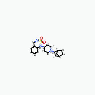 O=S1(=O)N=Cc2ccccc2N1C1CCN(C2CC3CCC2C3)CC1